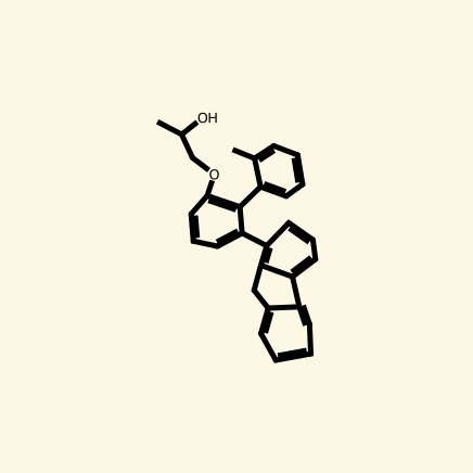 Cc1ccccc1-c1c(OCC(C)O)cccc1-c1cccc2c1Cc1ccccc1-2